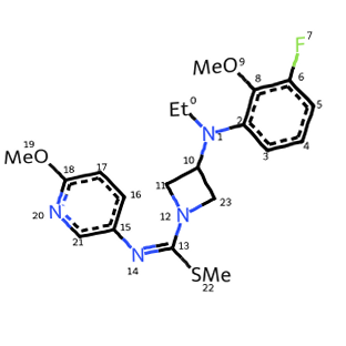 CCN(c1cccc(F)c1OC)C1CN(/C(=N\c2ccc(OC)nc2)SC)C1